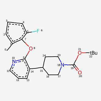 Cc1cccc(F)c1Oc1ncccc1C1CCN(C(=O)OC(C)(C)C)CC1